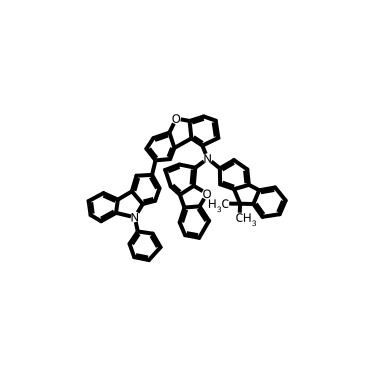 CC1(C)c2ccccc2-c2ccc(N(c3cccc4c3oc3ccccc34)c3cccc4oc5ccc(-c6ccc7c(c6)c6ccccc6n7-c6ccccc6)cc5c34)cc21